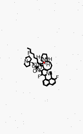 C#Cc1c(F)ccc2cccc(-c3nc4c5c(nc(OC[C@@]67CCCN6C[C@H](F)C7)nc5c3F)N3C[C@H]5CC[C@@H]([C@H]3CCC4)N5Cc3oc(=O)oc3CCCCCC)c12